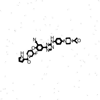 N#Cc1cc(-c2ncnc(Nc3ccc(N4CCN(C5COC5)CC4)cc3)n2)ccc1O[C@H]1CCN(C(=O)c2ccc[nH]2)C[C@@H]1F